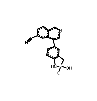 N#Cc1ccc2cncc(-c3ccc4c(c3)CS(O)(O)N4)c2c1